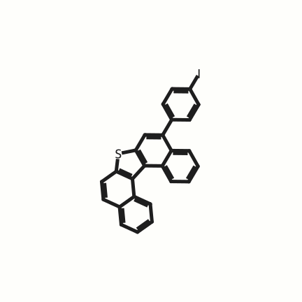 Ic1ccc(-c2cc3sc4ccc5ccccc5c4c3c3ccccc23)cc1